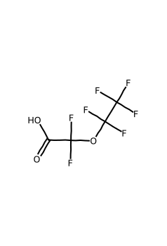 O=C(O)C(F)(F)OC(F)(F)C(F)(F)F